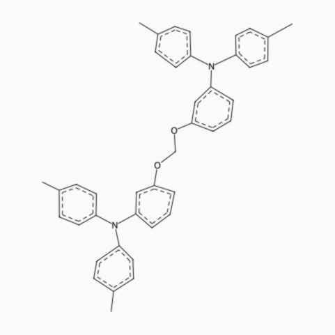 Cc1ccc(N(c2ccc(C)cc2)c2cccc(OCOc3cccc(N(c4ccc(C)cc4)c4ccc(C)cc4)c3)c2)cc1